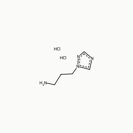 Cl.Cl.NCCCn1cncn1